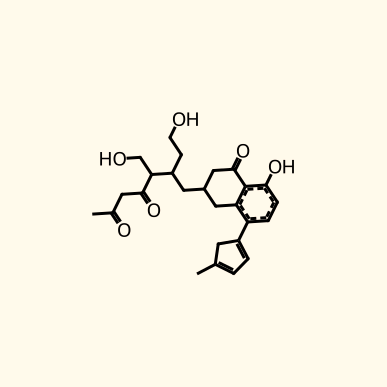 CC(=O)CC(=O)C(CO)C(CCO)CC1CC(=O)c2c(O)ccc(C3=CC=C(C)C3)c2C1